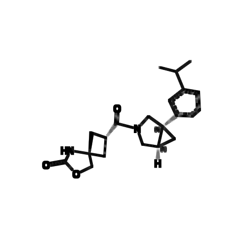 CC(C)c1cccc([C@]23C[C@H]2CN(C(=O)[C@H]2C[C@]4(COC(=O)N4)C2)C3)c1